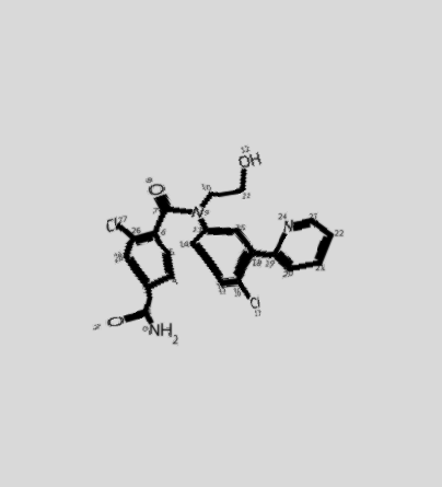 NC(=O)c1ccc(C(=O)N(CCO)c2ccc(Cl)c(-c3ccccn3)c2)c(Cl)c1